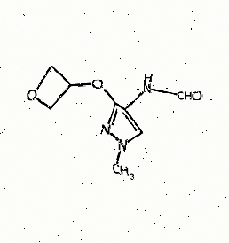 Cn1cc(NC=O)c(OC2COC2)n1